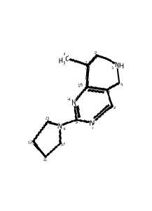 CC1CNCc2cnc(N3CCCC3)nc21